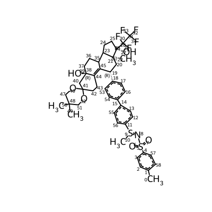 Cc1ccc(S(=O)(=O)N=S(C)c2ccc(-c3ccc([C@H]4C[C@@]5(C)C(CC[C@@]5(O)C(F)(F)C(F)(F)F)C5CC[C@@]6(O)CC7(CCC6=C54)OCC(C)(C)CO7)cc3)cc2)cc1